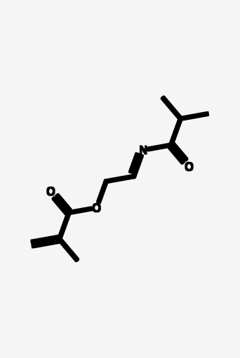 C=C(C)C(=O)OCC=NC(=O)C(C)C